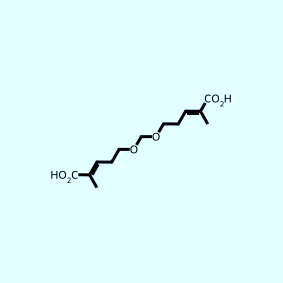 CC(=CCCOCOCCC=C(C)C(=O)O)C(=O)O